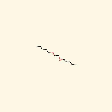 CCCCCOCCOCCCCC